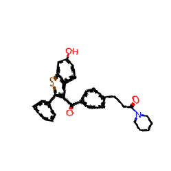 O=C(c1ccc(CCC(=O)N2CCCCC2)cc1)c1c(-c2ccccc2)sc2cc(O)ccc12